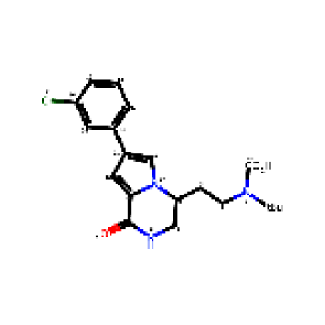 CC(C)(C)N(CCC1CNC(=O)c2cc(-c3cccc(Cl)c3)cn21)C(=O)O